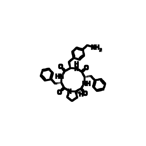 NCc1ccc(C[C@H]2NC(=O)[C@H](Cc3ccccc3)NC(=O)[C@H]3CCCN3C(=O)[C@H](Cc3ccccc3)NC2=O)cc1